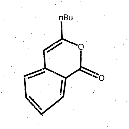 CCCCc1cc2ccccc2c(=O)o1